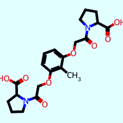 Cc1c(OCC(=O)N2CCCC2C(=O)O)cccc1OCC(=O)N1CCCC1C(=O)O